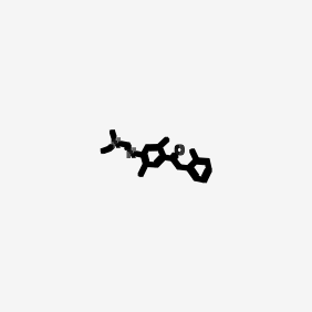 CCN(C)C=Nc1cc(C)c(C(=O)Cc2ccccc2C)cc1C